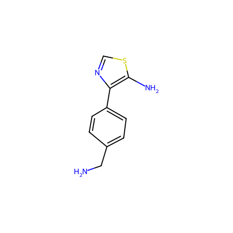 NCc1ccc(-c2ncsc2N)cc1